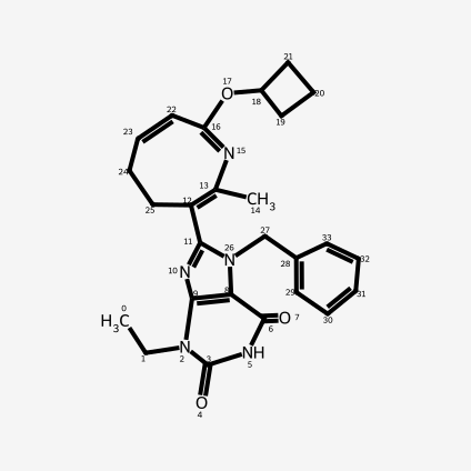 CCn1c(=O)[nH]c(=O)c2c1nc(/C1=C(C)/N=C(OC3CCC3)\C=C/CC1)n2Cc1ccccc1